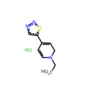 Cl.O=C(O)CN1C=CC(c2cnns2)=CC1